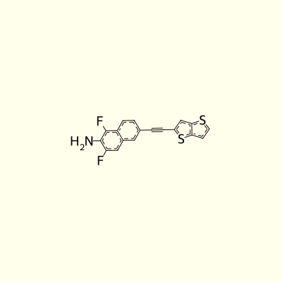 Nc1c(F)cc2cc(C#Cc3cc4sccc4s3)ccc2c1F